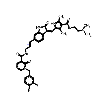 Cc1[nH]c(C=C2C(=O)Nc3cc(/C=C/CNC(=O)c4cncn(Cc5ccc(F)c(F)c5)c4=O)ccc32)c(C)c1C(=O)NCCN(C)C